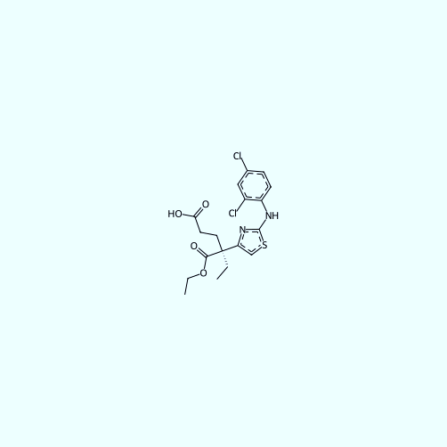 CCOC(=O)[C@@](CC)(CCC(=O)O)c1csc(Nc2ccc(Cl)cc2Cl)n1